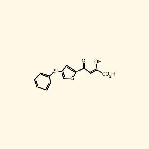 O=C(O)/C(O)=C/C(=O)c1cc(Sc2ccccc2)cs1